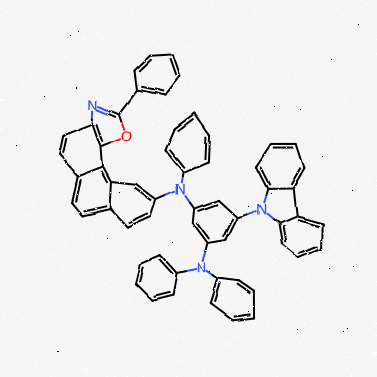 c1ccc(-c2nc3ccc4ccc5ccc(N(c6ccccc6)c6cc(N(c7ccccc7)c7ccccc7)cc(-n7c8ccccc8c8ccccc87)c6)cc5c4c3o2)cc1